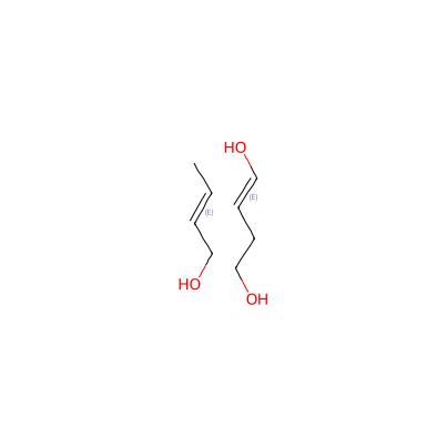 C/C=C/CO.O/C=C/CCO